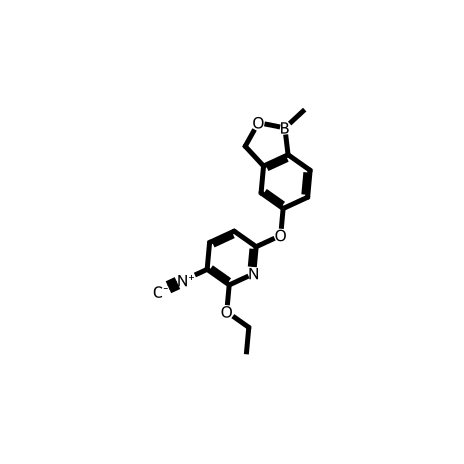 [C-]#[N+]c1ccc(Oc2ccc3c(c2)COB3C)nc1OCC